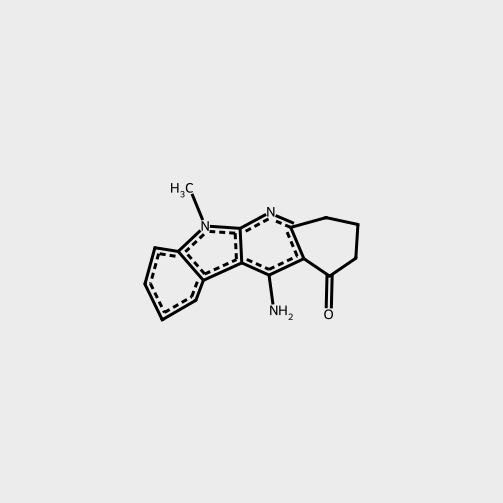 Cn1c2ccccc2c2c(N)c3c(nc21)CCCC3=O